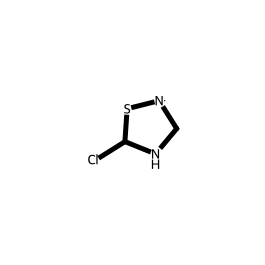 ClC1NC[N]S1